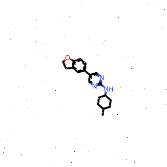 CC1CCC(Nc2ncc(-c3ccc4c(c3)CCO4)cn2)CC1